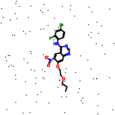 CCCOCCOc1cc2ncnc(Nc3ccc(Br)cc3F)c2cc1[N+](=O)[O-]